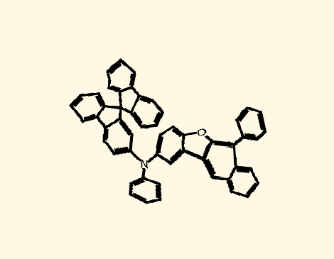 c1ccc(-c2c3ccccc3cc3c2oc2ccc(N(c4ccccc4)c4ccc5c(c4)C4(c6ccccc6-c6ccccc64)c4ccccc4-5)cc23)cc1